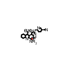 Cc1c(-c2c(C(N)=O)nc3ccccc3c2C(N)=O)c(C(F)(F)F)nn1Cc1ccc(C#N)cn1